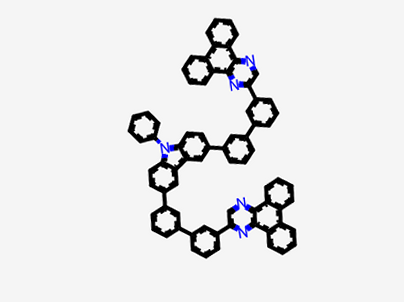 c1ccc(-n2c3ccc(-c4cccc(-c5cccc(-c6cnc7c8ccccc8c8ccccc8c7n6)c5)c4)cc3c3cc(-c4cccc(-c5cccc(-c6cnc7c8ccccc8c8ccccc8c7n6)c5)c4)ccc32)cc1